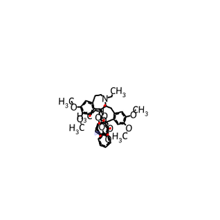 CCN1CCc2cc(OC)c(OC)cc2C(OC(=O)/C=C\C(=O)OC2(Oc3ccccc3)CN(CC)CCc3cc(OC)c(OC)cc32)(Oc2ccccc2)C1